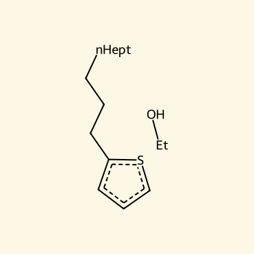 CCCCCCCCCCc1cccs1.CCO